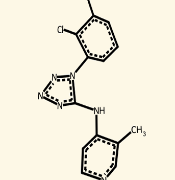 Cc1cnccc1Nc1nnnn1-c1cccc(Cl)c1Cl